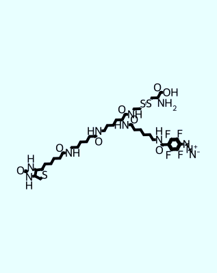 [N-]=[N+]=Nc1c(F)c(F)c(C(=O)NCCCCCC(=O)NC(CCCCNC(=O)CCCCCNC(=O)CCCCC2SCC3NC(=O)NC32)C(=O)NCCSSCC(N)C(=O)O)c(F)c1F